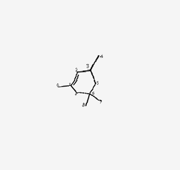 CC1=CC(C)CC(C)(C)C1